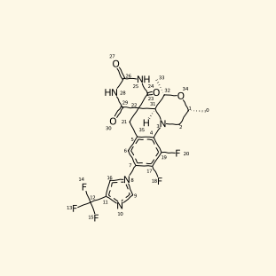 C[C@@H]1CN2c3c(cc(-n4cnc(C(F)(F)F)c4)c(F)c3F)CC3(C(=O)NC(=O)NC3=O)[C@H]2[C@H](C)O1